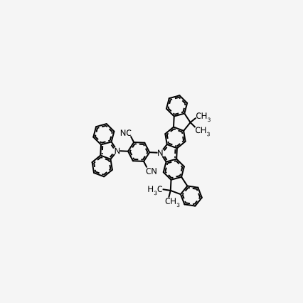 CC1(C)c2ccccc2-c2cc3c(cc21)c1cc2c(cc1n3-c1cc(C#N)c(-n3c4ccccc4c4ccccc43)cc1C#N)C(C)(C)c1ccccc1-2